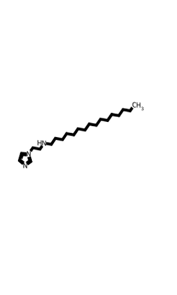 CCCCCCCCCCCCCCCCNCCn1ccnc1